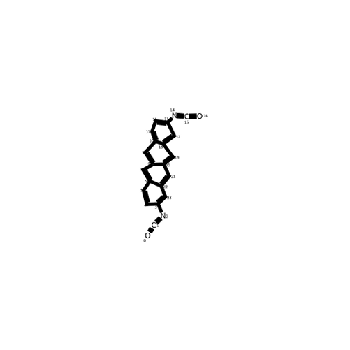 O=C=Nc1ccc2cc3cc4ccc(N=C=O)cc4cc3cc2c1